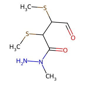 CSC(C=O)C(SC)C(=O)N(C)N